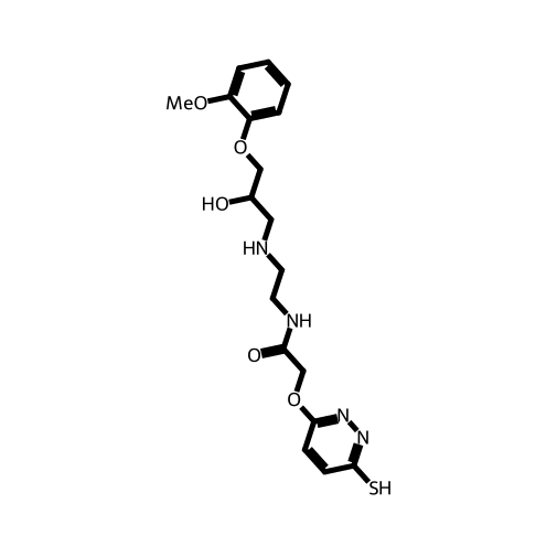 COc1ccccc1OCC(O)CNCCNC(=O)COc1ccc(S)nn1